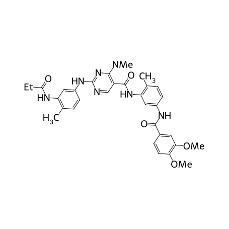 CCC(=O)Nc1cc(Nc2ncc(C(=O)Nc3cc(NC(=O)c4ccc(OC)c(OC)c4)ccc3C)c(NC)n2)ccc1C